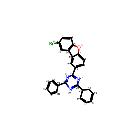 Brc1ccc2oc3ccc(-c4nc(-c5ccccc5)nc(C5C=CC=CC5)n4)cc3c2c1